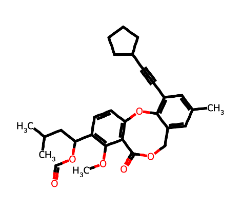 COc1c(C(CC(C)C)OC=O)ccc2c1C(=O)OCc1cc(C)cc(C#CC3CCCC3)c1O2